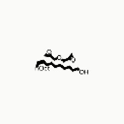 C(OCC1CO1)C1CO1.CCCCCCCC/C=C\CCCCCCCCO